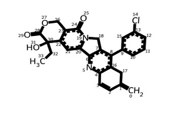 C=C1C=Cc2nc3c(c(-c4cccc(Cl)c4)c2C1)Cn1c-3cc2c(c1=O)COC(=O)C2(O)CC